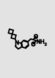 NS(=O)(=O)Cc1ccc2c(c1)N(C1CC3(CCC3)C1)CC2